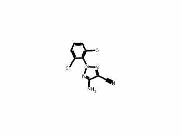 N#Cc1nn(-c2c(Cl)cccc2Cl)nc1N